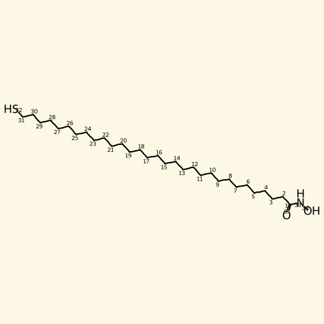 O=C(CCCCCCCCCCCCCCCCCCCCCCCCCCCCCCS)NO